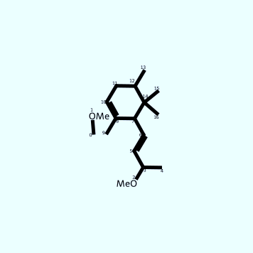 COC.COC(C)C=CC1C(C)=CCC(C)C1(C)C